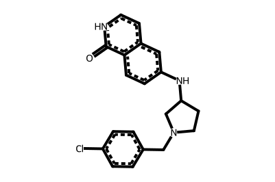 O=c1[nH]ccc2cc(NC3CCN(Cc4ccc(Cl)cc4)C3)ccc12